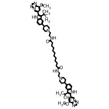 COc1cc(-c2[nH]c3ccc(C4CCN(CCNC(=O)CCCCCCCCCCC(=O)NCCN5CCC(c6ccc7[nH]c(-c8cc(OC)c9ncnn9c8)c(C(C)C)c7c6)CC5)CC4)cc3c2C(C)C)cn2ncnc12